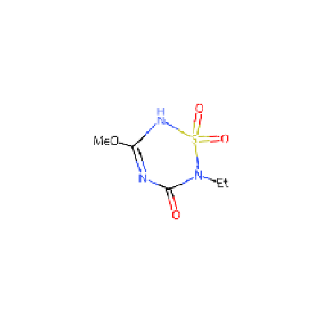 CCN1C(=O)N=C(OC)NS1(=O)=O